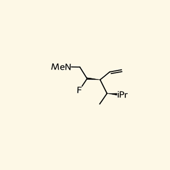 C=C[C@H](C(F)CNC)[C@H](C)C(C)C